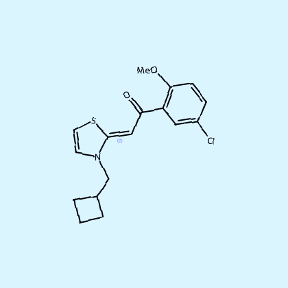 COc1ccc(Cl)cc1C(=O)/C=C1\SC=CN1CC1CCC1